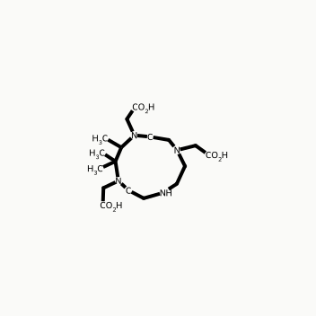 CC1N(CC(=O)O)CCN(CC(=O)O)CCNCCN(CC(=O)O)C1(C)C